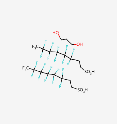 O=S(=O)(O)CCC(F)(F)C(F)(F)C(F)(F)C(F)(F)C(F)(F)C(F)(F)F.O=S(=O)(O)CCC(F)(F)C(F)(F)C(F)(F)C(F)(F)C(F)(F)C(F)(F)F.OCCCO